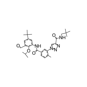 Cc1ccc(C(=O)Nc2cc(C(C)(C)C)cc(C=O)c2OC(C)C)cc1-n1cc(C(=O)NCC(C)(C)C)nn1